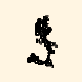 CN(CCN1CCC(OC(=O)Nc2ccccc2-c2ccccc2)CC1)C(=O)CCCCCNc1ccc(C(=O)N(C)CCCN(C)C(=O)CO[C@H]2Cc3ccccc3C23CCN(CC[C@]2(c4ccc(Cl)c(Cl)c4)CN(C(=O)c4cc(C(F)(F)F)cc(C(F)(F)F)c4)CCO2)CC3)cc1